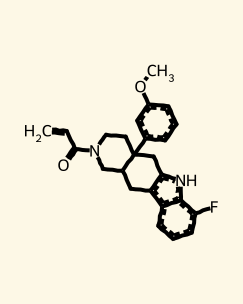 C=CC(=O)N1CCC2(c3cccc(OC)c3)Cc3[nH]c4c(F)cccc4c3CC2C1